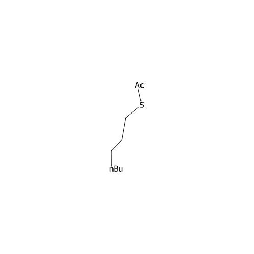 [CH2]CCCCCCSC(C)=O